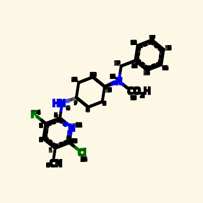 N#Cc1cc(F)c(N[C@H]2CC[C@H](N(Cc3ccccc3)C(=O)O)CC2)nc1Cl